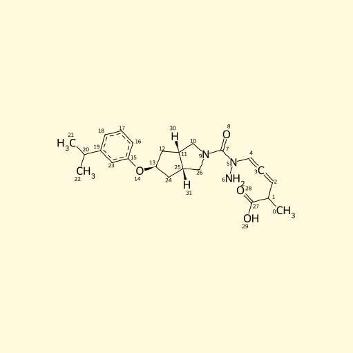 CC(C=C=CN(N)C(=O)N1C[C@H]2C[C@H](Oc3cccc(C(C)C)c3)C[C@H]2C1)C(=O)O